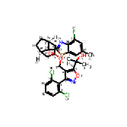 CC(C)(O)c1onc(-c2c(Cl)cccc2Cl)c1CO[C@H]1C[C@H]2CC[C@@H](C1)[C@@]2(O)c1nc2c(F)cc(C#N)cc2s1